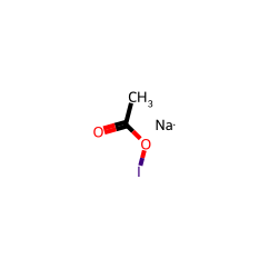 CC(=O)OI.[Na]